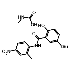 CNC(=O)O.Cc1cc([N+](=O)[O-])ccc1NC(=O)c1cc(C(C)(C)C)ccc1O